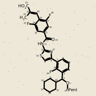 CCCCCOC(c1cccc(-c2csc(NC(=O)c3cc(F)c(/C=C(\C)C(=O)O)c(F)c3)n2)c1F)C1CCCCC1